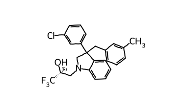 Cc1cccc(CC2(c3cccc(Cl)c3)CN(C[C@@H](O)C(F)(F)F)c3ccccc32)c1